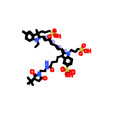 CC[N+]1=C(/C=C/C=C/C=C/C=C2\C(CCCC(=O)NCCN3C(=O)CC(C(C)(C)C)C3=O)c3cc(S(=O)(=O)O)ccc3N2CCCS(=O)(=O)O)C(C)(CCCS(=O)(=O)O)c2cc(C)ccc21